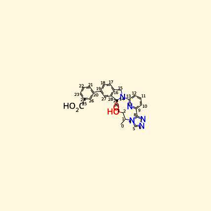 CC(CO)n1cnnc1-c1cccc(N2Cc3ccc(-c4cccc(C(=O)O)c4)cc3C2=O)n1